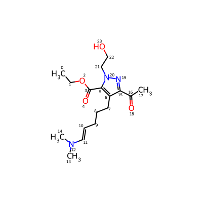 CCOC(=O)c1c(CCCC=CN(C)C)c(C(C)=O)nn1CCO